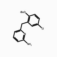 CC(C)COc1ccc(Cl)cc1Cc1cccc(N)n1